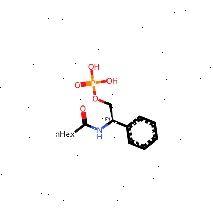 CCCCCCC(=O)N[C@@H](COP(=O)(O)O)c1ccccc1